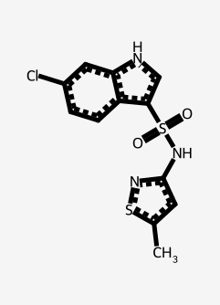 Cc1cc(NS(=O)(=O)c2c[nH]c3cc(Cl)ccc23)ns1